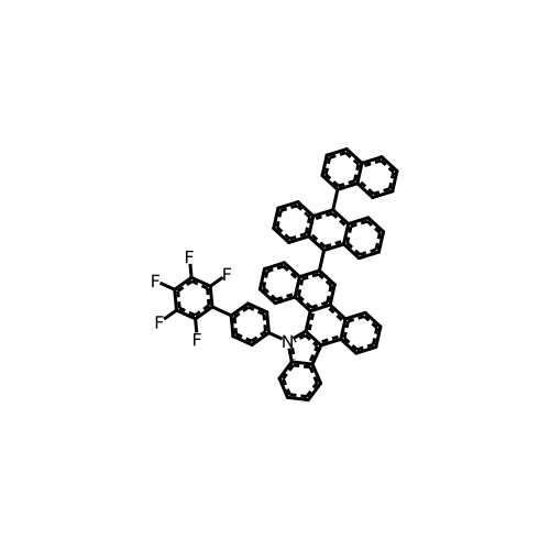 Fc1c(F)c(F)c(-c2ccc(-n3c4ccccc4c4c5ccccc5c5cc(-c6c7ccccc7c(-c7cccc8ccccc78)c7ccccc67)c6ccccc6c5c43)cc2)c(F)c1F